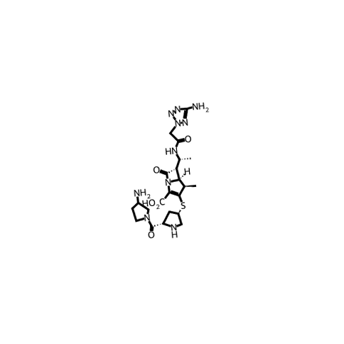 C[C@@H](NC(=O)Cn1nnc(N)n1)[C@H]1C(=O)N2C(C(=O)O)=C(S[C@@H]3CN[C@H](C(=O)N4CCC(N)C4)C3)[C@H](C)[C@H]12